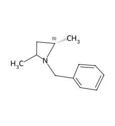 CC1C[C@H](C)N1Cc1ccccc1